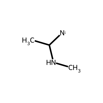 CNC(C)[N]